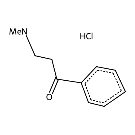 CNCCC(=O)c1ccccc1.Cl